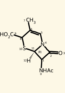 CC(=O)NC1C(=O)N2C=C(C)C(C(=O)O)S[C@H]12